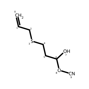 C=CCSCCC(O)OC#N